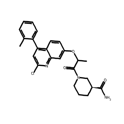 Cc1ccccc1-c1cc(Cl)nc2cc(OC(C)C(=O)N3CCC[C@H](C(N)=O)C3)ccc12